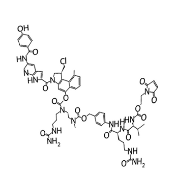 Cc1cccc2c(OC(=O)N(CCCNC(N)=O)CCN(C)C(=O)OCc3ccc(NC(=O)[C@H](CCCNC(N)=O)NC(=O)[C@@H](NC(=O)OCCN4C(=O)C=CC4=O)C(C)C)cc3)cc3c(c12)[C@H](CCl)CN3C(=O)c1cc2cc(NC(=O)c3ccc(O)cc3)cnc2[nH]1